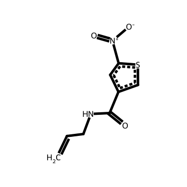 C=CCNC(=O)c1csc([N+](=O)[O-])c1